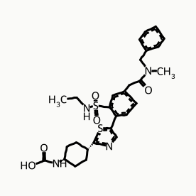 CCNS(=O)(=O)c1cc(CC(=O)N(C)Cc2ccccc2)ccc1-c1cnc([C@H]2CC[C@H](NC(=O)O)CC2)s1